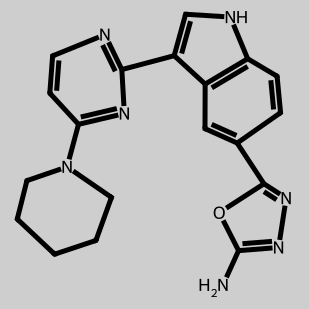 Nc1nnc(-c2ccc3[nH]cc(-c4nccc(N5CCCCC5)n4)c3c2)o1